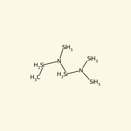 C[SiH2]N([SiH3])[SiH2]N([SiH3])[SiH3]